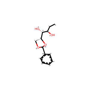 CC[C@@H](O)[C@@H](O)[C@H]1COC(c2ccccc2)O1